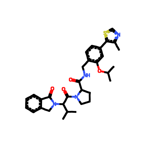 Cc1ncsc1-c1ccc(CNC(=O)C2CCCN2C(=O)C(C(C)C)N2Cc3ccccc3C2=O)c(OC(C)C)c1